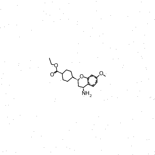 CCOC(=O)C1CCC([C@@H]2C[C@H](N)c3ccc(OC)cc3O2)CC1